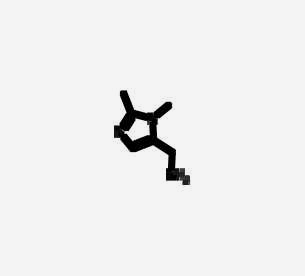 Cc1ncc(CN)n1C